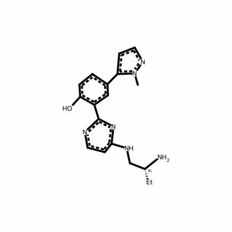 CC[C@@H](N)CNc1ccnc(-c2cc(-c3ccnn3C)ccc2O)n1